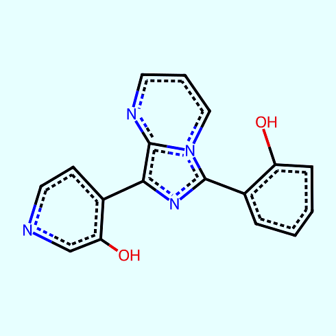 Oc1cnccc1-c1nc(-c2ccccc2O)n2cccnc12